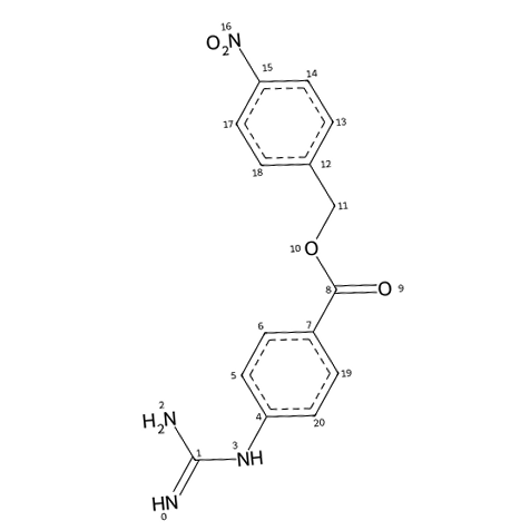 N=C(N)Nc1ccc(C(=O)OCc2ccc([N+](=O)[O-])cc2)cc1